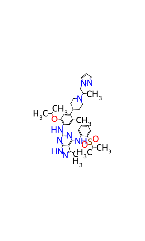 Cc1cc(Nc2nc(Nc3ccccc3S(=O)(=O)C(C)C)c3c(C)n[nH]c3n2)c(OC(C)C)cc1C1CCN(C(C)Cn2cccn2)CC1